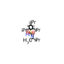 CC(=NNS(=O)(=O)c1c(C(C)C)cc(C(C)C)cc1C(C)C)C(C)C